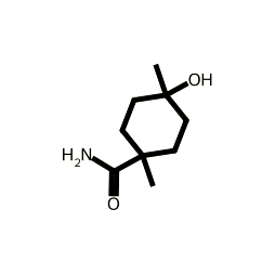 CC1(O)CCC(C)(C(N)=O)CC1